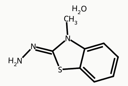 Cn1/c(=N/N)sc2ccccc21.O